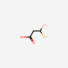 BC(S)CC(=O)O